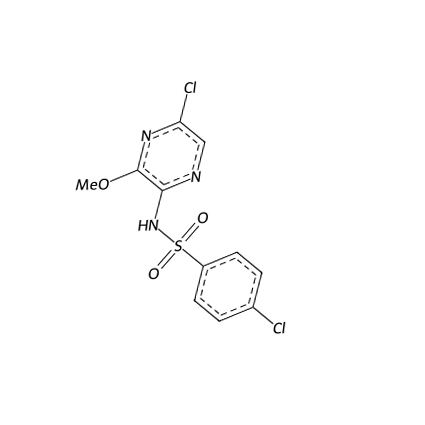 COc1nc(Cl)cnc1NS(=O)(=O)c1ccc(Cl)cc1